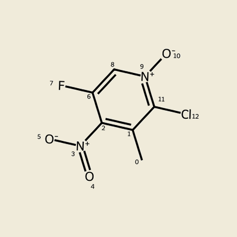 Cc1c([N+](=O)[O-])c(F)c[n+]([O-])c1Cl